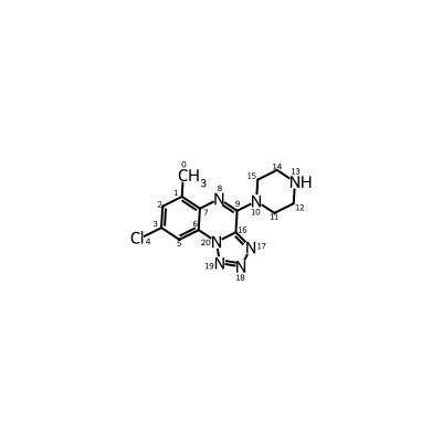 Cc1cc(Cl)cc2c1nc(N1CCNCC1)c1nnnn12